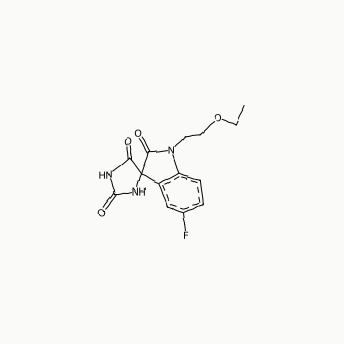 CCOCCN1C(=O)C2(NC(=O)NC2=O)c2cc(F)ccc21